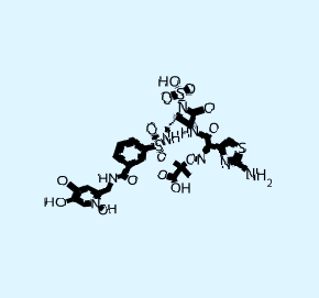 CC(C)(ON=C(C(=O)N[C@@H]1C(=O)N(S(=O)(=O)O)[C@H]1CNS(=O)(=O)c1cccc(C(=O)NCc2cc(=O)c(O)cn2O)c1)c1csc(N)n1)C(=O)O